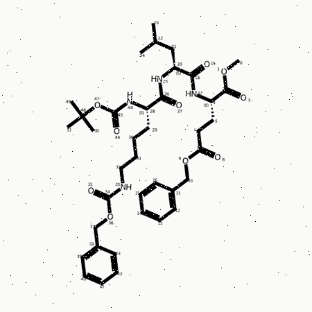 COC(=O)[C@H](CCC(=O)OCc1ccccc1)NC(=O)[C@H](CC(C)C)NC(=O)[C@H](CCCCNC(=O)OCc1ccccc1)NC(=O)OC(C)(C)C